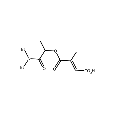 CCN(CC)C(=O)C(C)OC(=O)/C(C)=C/C(=O)O